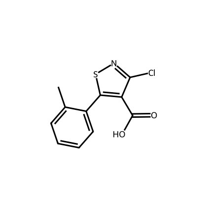 Cc1ccccc1-c1snc(Cl)c1C(=O)O